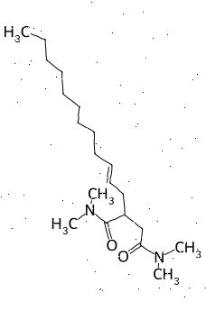 CCCCCCCCCC=CCC(CC(=O)N(C)C)C(=O)N(C)C